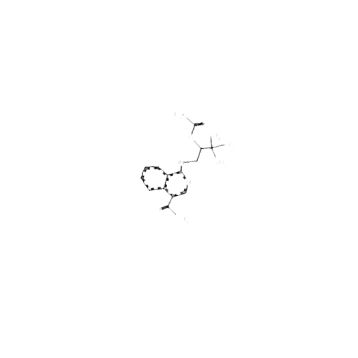 CC(=O)c1cnc(NCC(OC(N)=O)C(C)(C)C)c2ccccc12